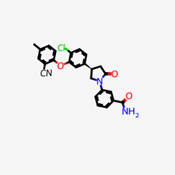 Cc1ccc(Oc2cc([C@H]3CC(=O)N(c4cccc(C(N)=O)c4)C3)ccc2Cl)c(C#N)c1